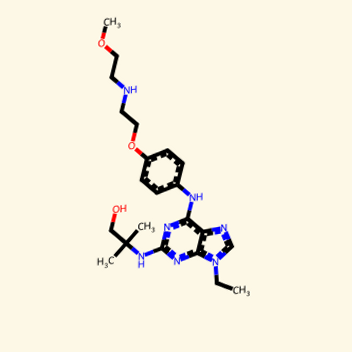 CCn1cnc2c(Nc3ccc(OCCNCCOC)cc3)nc(NC(C)(C)CO)nc21